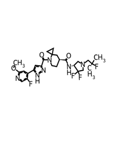 COc1cc(-c2cc(C(=O)N3CC[C@H](C(=O)N[C@@H]4CN(CC(C)(C)F)CC4(F)F)CC34CC4)n[nH]2)c(F)cn1